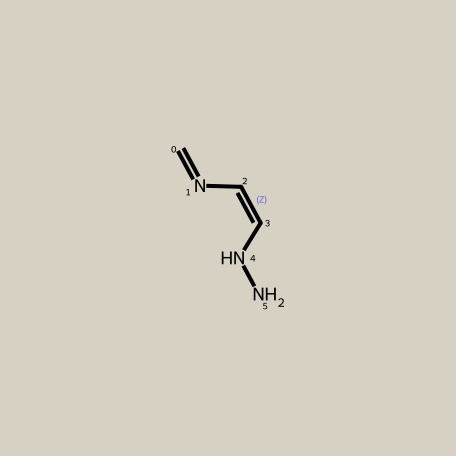 C=N/C=C\NN